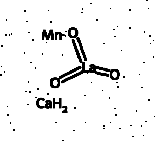 [CaH2].[Mn].[O]=[La](=[O])=[O]